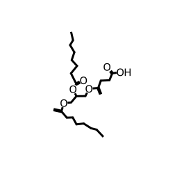 C=C(CCCCCCC)OCC(COC(=C)CCC(=O)O)OC(=O)CCCCCCC